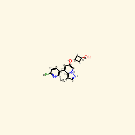 N#Cc1cnn2cc(O[C@H]3C[C@H](O)C3)cc(-c3ccc(F)nc3)c12